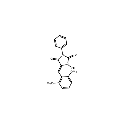 COc1cccc(OC)c1C=C1C(=O)N(c2ccccc2)C(=[Se])N1C